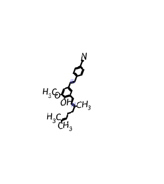 COc1cc(/C=C/c2ccc(C#N)cc2)cc(C/C=C(\C)CCC=C(C)C)c1O